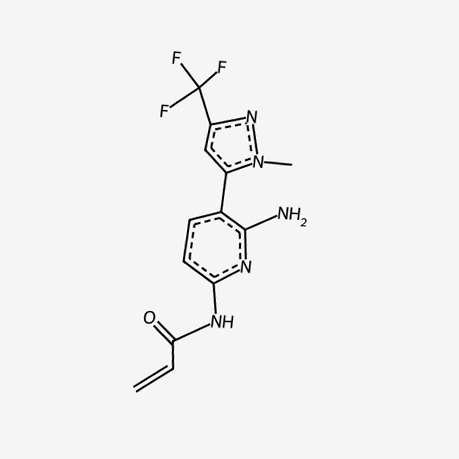 C=CC(=O)Nc1ccc(-c2cc(C(F)(F)F)nn2C)c(N)n1